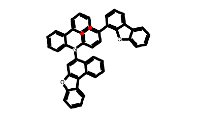 c1ccc(-c2ccccc2N(c2ccc(-c3cccc4c3oc3ccccc34)cc2)c2cc3oc4ccccc4c3c3ccccc23)cc1